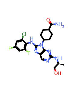 C[C@@H](CO)Nc1ncc2nc(Nc3c(F)cc(F)cc3Cl)n(C3CCC(C(N)=O)CC3)c2n1